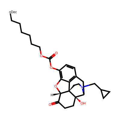 CCCCCCCCCCCCCCCCOC(=O)Oc1ccc2c3c1O[C@H]1C(=O)CC[C@@]4(O)C(C2)N(CC2CC2)CC[C@]314